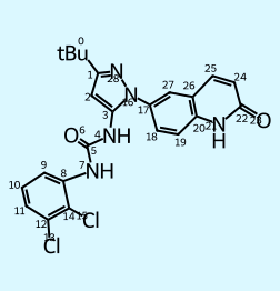 CC(C)(C)c1cc(NC(=O)Nc2cccc(Cl)c2Cl)n(-c2ccc3[nH]c(=O)ccc3c2)n1